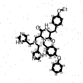 CCOc1ccc(CC2NC(=O)C(CN(Cc3cnc[nH]3)Cc3cnc[nH]3)N(Cc3ccc(Oc4ccccc4)cc3)C2=O)cc1